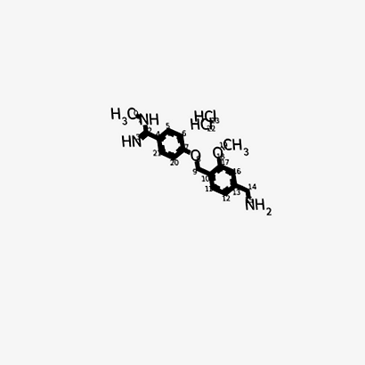 CNC(=N)c1ccc(OCc2ccc(CN)cc2OC)cc1.Cl.Cl